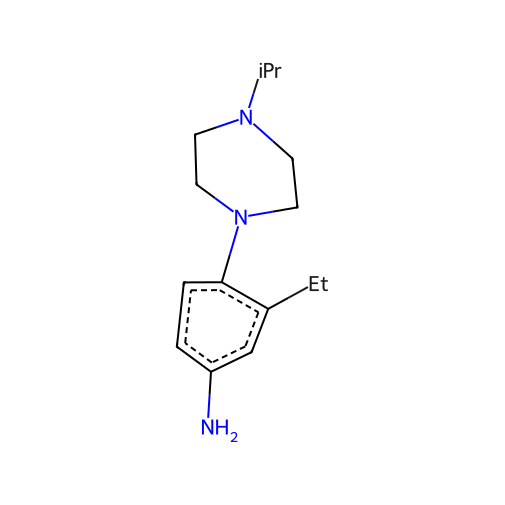 CCc1cc(N)ccc1N1CCN(C(C)C)CC1